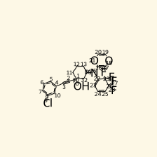 O[C@]1(C#Cc2cccc(Cl)c2)CCC[C@@H](N(C2=COC=CO2)C2=CC=CC(F)(F)C2(F)F)C1